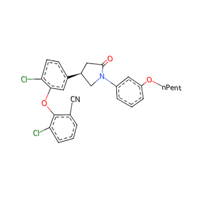 CCCCCOc1cccc(N2C[C@@H](c3ccc(Cl)c(Oc4c(Cl)cccc4C#N)c3)CC2=O)c1